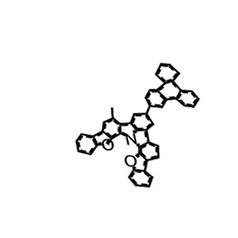 Cc1cc2c3ccccc3oc2c2c1c1cc(-c3ccc4c5ccccc5c5ccccc5c4c3)cc3c4ccc5c6ccccc6oc5c4n2c31